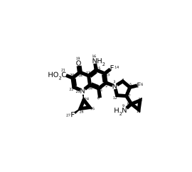 Cc1c(N2CC(F)C(C3(N)CC3)C2)c(F)c(N)c2c(=O)c(C(=O)O)cn([C@@H]3C[C@H]3F)c12